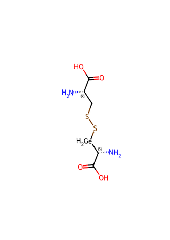 N[C@@H](CS[S][GeH2][C@H](N)C(=O)O)C(=O)O